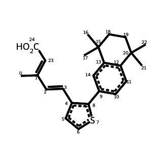 CC(C=Cc1ccsc1-c1ccc2c(c1)C(C)(C)CCC2(C)C)=CC(=O)O